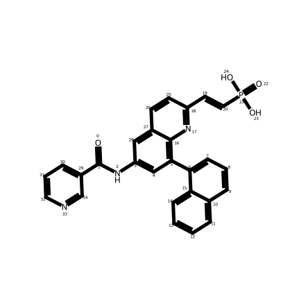 O=C(Nc1cc(-c2cccc3ccccc23)c2nc(C=CP(=O)(O)O)ccc2c1)c1cccnc1